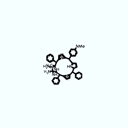 CNc1ccc(C2c3ccc([nH]3)C(c3ccccc3)c3ccc([nH]3)C(c3ccccc3)C3NC(C)(C(c4ccccc4)c4ccc2[nH]4)N(N)C3(N)N)cc1